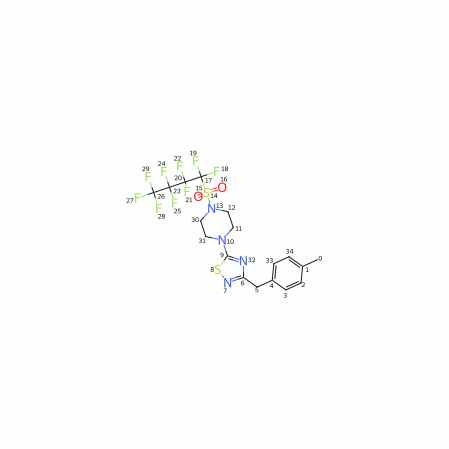 Cc1ccc(Cc2nsc(N3CCN(S(=O)(=O)C(F)(F)C(F)(F)C(F)(F)C(F)(F)F)CC3)n2)cc1